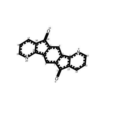 O=c1c2cc3c(cc2c2ncccc12)c(=O)c1cccnc13